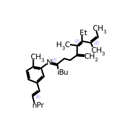 C=C(CC/C(=N/c1cc(/C=C/CCC)ccc1C)C(C)CC)/C(C)=C(CC)\C(C)=C/C